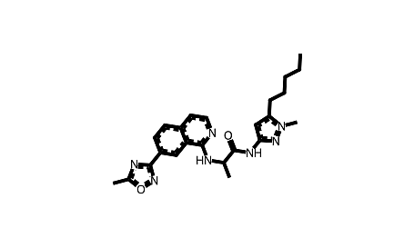 CCCCCc1cc(NC(=O)C(C)Nc2nccc3ccc(-c4noc(C)n4)cc23)nn1C